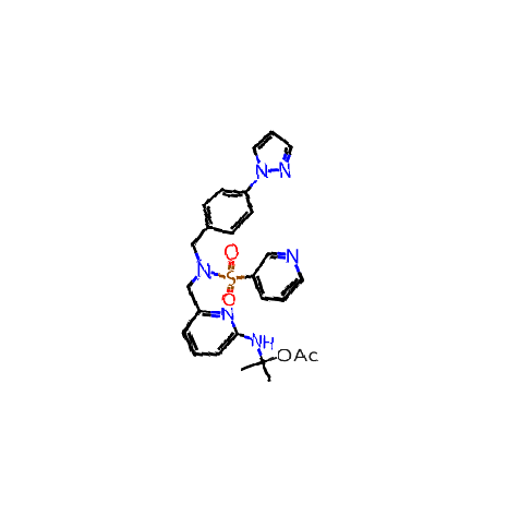 CC(=O)OC(C)(C)Nc1cccc(CN(Cc2ccc(-n3cccn3)cc2)S(=O)(=O)c2cccnc2)n1